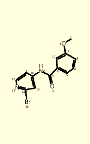 COc1cccc(C(=O)Nc2ccnc(Br)c2)c1